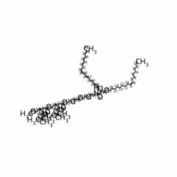 CCCCCCCC/C=C\CCCCCCCCOCC(OCCCCCCCC/C=C\CCCCCCCC)C(=O)NCCOCCOCCOCCOC(=O)CN(CCOC(=O)CN(CCOC)C(=O)OC(C)(C)C)C(=O)OC(C)(C)C